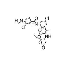 CCOC1OC(=O)C[C@@H]1NC(=O)C(C)n1cc(Cl)cc(NC(=O)c2ccc(N)c(Cl)c2)c1=O